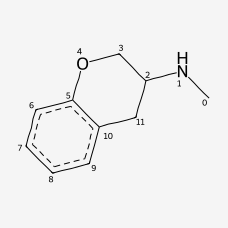 CNC1COc2ccccc2C1